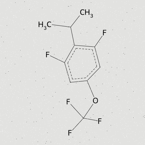 CC(C)c1c(F)cc(OC(F)(F)F)cc1F